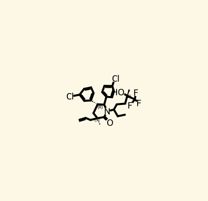 C=CC[C@@]1(C)C[C@H](c2cccc(Cl)c2)C(c2ccc(Cl)cc2)N(C(CC)CC[C@](C)(O)C(F)(F)F)C1=O